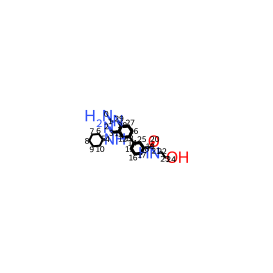 Nc1nc(NC2CCCCC2)c2cc(-c3cccc(C(=O)NCCO)c3)ccc2n1